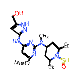 CCC1CC(N(C)c2nc(Nc3cc(CO)[nH]n3)cc(OC)n2)CC(CC)N1[SH]=O